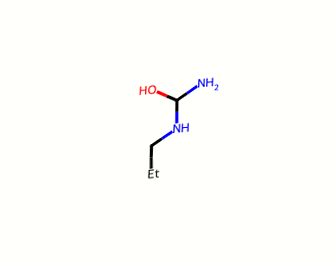 CCCNC(N)O